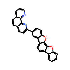 c1cnc2c(c1)ccc1ccc(-c3ccc4oc5c(ccc6c7ccccc7oc65)c4c3)nc12